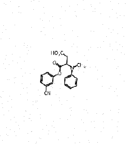 CN(c1ccccc1)C(CC(=O)O)C(=O)Oc1cccc(C#N)c1